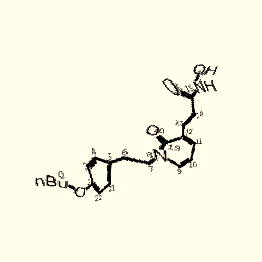 CCCCOc1ccc(CCn2cccc(/C=C/C(=O)NO)c2=O)cc1